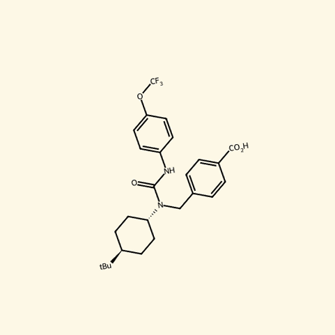 CC(C)(C)[C@H]1CC[C@H](N(Cc2ccc(C(=O)O)cc2)C(=O)Nc2ccc(OC(F)(F)F)cc2)CC1